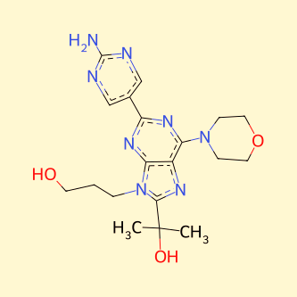 CC(C)(O)c1nc2c(N3CCOCC3)nc(-c3cnc(N)nc3)nc2n1CCCO